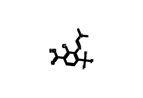 CN(C)/C=N/c1c(C(F)(F)F)ccc(C(=O)O)c1Cl